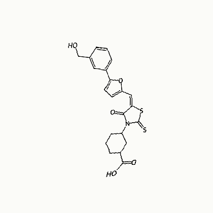 O=C(O)C1CCCC(N2C(=O)/C(=C\c3ccc(-c4cccc(CO)c4)o3)SC2=S)C1